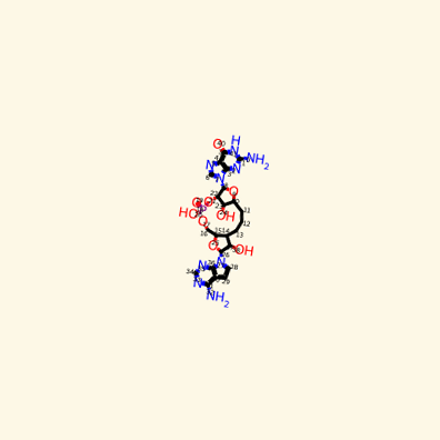 Nc1nc2c(ncn2C2OC3CCCC4C(COP(=O)(O)OC2C3O)OC(n2ccc3c(N)ncnc32)C4O)c(=O)[nH]1